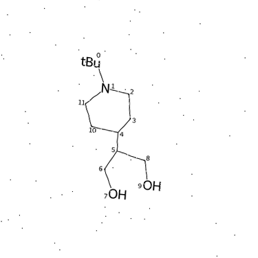 CC(C)(C)N1CCC(C(CO)CO)CC1